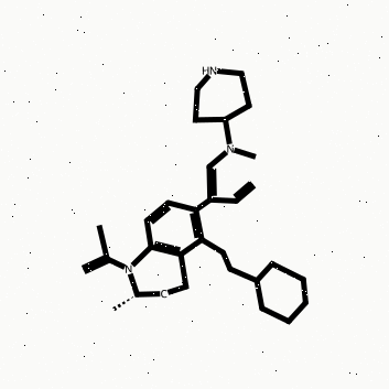 C=C/C(=C\N(C)C1CCNCC1)c1ccc2c(c1CCC1CCCCC1)CC[C@H](C)N2C(=C)C